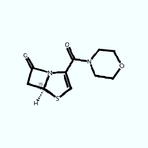 O=C(C1=CS[C@H]2CC(=O)N12)N1CCOCC1